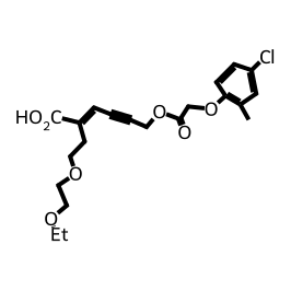 CCOCCOCC/C(=C\C#CCOC(=O)COc1ccc(Cl)cc1C)C(=O)O